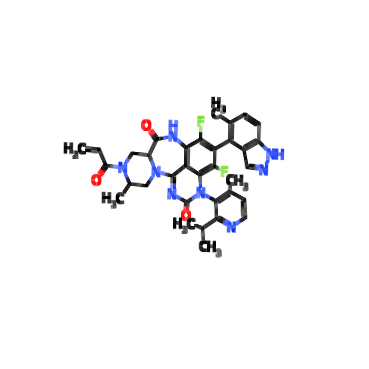 C=CC(=O)N1CC2C(=O)Nc3c(F)c(-c4c(C)ccc5[nH]ncc45)c(F)c4c3c(nc(=O)n4-c3c(C)ccnc3C(C)C)N2CC1C